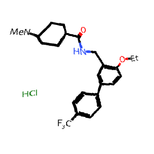 CCOc1ccc(-c2ccc(C(F)(F)F)cc2)cc1CNC(=O)C1CCC(NC)CC1.Cl